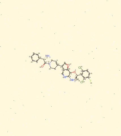 C[C@@H](Oc1c(N)ncc2c(C3=CCN(C(=O)[C@@H](N)c4ccccc4)CC3)coc12)c1c(Cl)ccc(F)c1Cl